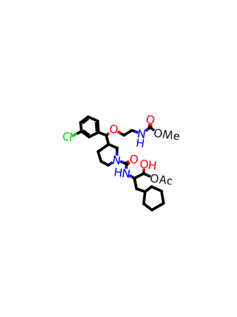 COC(=O)NCCOC(c1cccc(Cl)c1)C1CCCN(C(=O)NC(CC2CCCCC2)C(O)OC(C)=O)C1